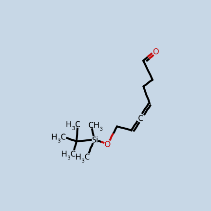 CC(C)(C)[Si](C)(C)OCC=C=CCCC=O